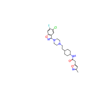 Cc1cc(CC(=O)NC2CCC(CCN3CCN(c4noc5cc(F)c(Cl)cc45)CC3)CC2)on1